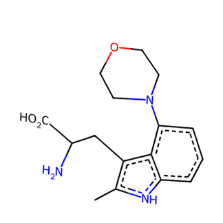 Cc1[nH]c2cccc(N3CCOCC3)c2c1CC(N)C(=O)O